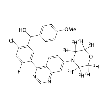 [2H]C1([2H])OC([2H])([2H])C([2H])([2H])N(c2ccc3c(-c4cc(C(O)c5ccc(OC)cc5)c(Cl)cc4F)ncnc3c2)C1([2H])[2H]